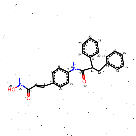 O=C(C=Cc1ccc(NC(=O)C(Cc2ccccc2)c2ccccc2)cc1)NO